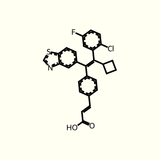 O=C(O)C=Cc1ccc(C(=C(c2cc(F)ccc2Cl)C2CCC2)c2ccc3scnc3c2)cc1